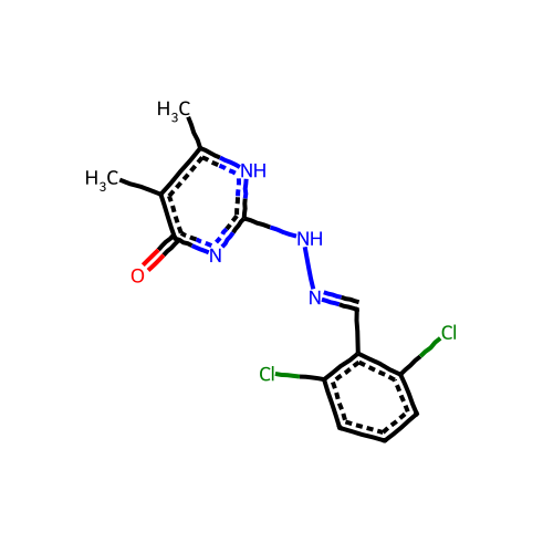 Cc1[nH]c(N/N=C/c2c(Cl)cccc2Cl)nc(=O)c1C